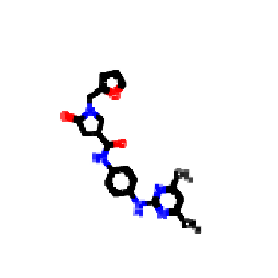 Cc1cc(C)nc(Nc2ccc(NC(=O)C3CC(=O)N(Cc4ccco4)C3)cc2)n1